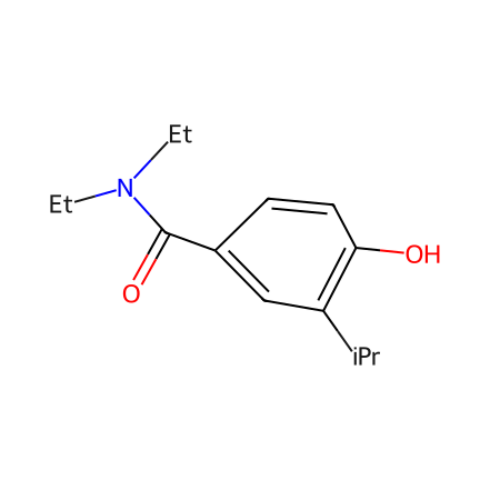 CCN(CC)C(=O)c1ccc(O)c(C(C)C)c1